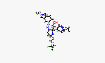 Cn1cc2cc(N3N=c4ccc(OCC5CC5(F)F)nc4=C(c4ccc(C5CC5)nc4)C3O)ccc2n1